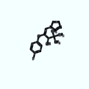 CC(C)(C)C(O)C(=Cn1ccnc1)Oc1ccc(F)cc1